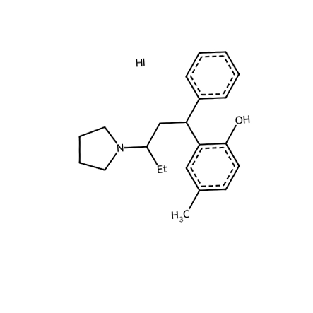 CCC(CC(c1ccccc1)c1cc(C)ccc1O)N1CCCC1.I